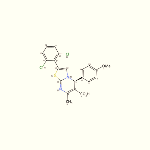 COc1ccc([C@H]2C(C(=O)O)=C(C)N=C3SC(c4c(Cl)cccc4Cl)=CN32)cc1